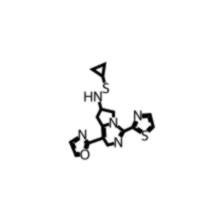 c1coc(C2=C3CC(NSC4CC4)CN3C(c3nccs3)=NC2)n1